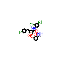 C[C@@H](NC(=O)Oc1c2c(nn1-c1ccc(Cl)cc1Cl)/C(=C/c1ccc(F)cc1)CS(=O)(=O)C2)C1CCCCC1